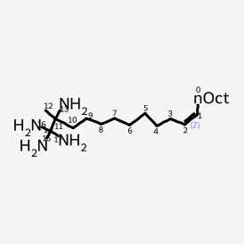 CCCCCCCC/C=C\CCCCCCCCC(C)(N)C(N)(N)N